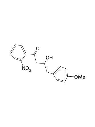 COc1ccc(CC(O)CC(=O)c2ccccc2[N+](=O)[O-])cc1